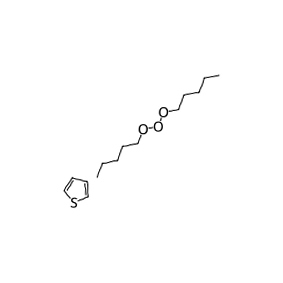 CCCCCOOOCCCCC.c1ccsc1